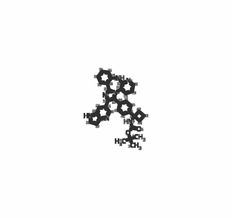 CC(C)(C)OC(=O)NC1(c2ccc(-c3c(-c4cnc5cc[nH]c5c4)nc4n3-c3cccnc3Nc3ccccc3-4)cc2)CCC1